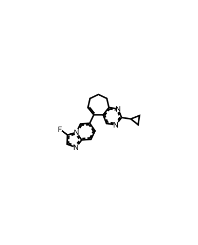 Fc1cnc2ccc(C3=CCCCc4nc(C5CC5)ncc43)cn12